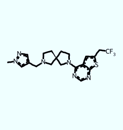 Cn1cc(CN2CC[C@]3(CCN(c4ncnc5sc(CC(F)(F)F)cc45)C3)C2)cn1